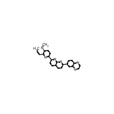 C=Nc1ccc(-c2ccc3ccc(-c4ccc5nccnc5c4)nc3n2)nc1/C=C\C